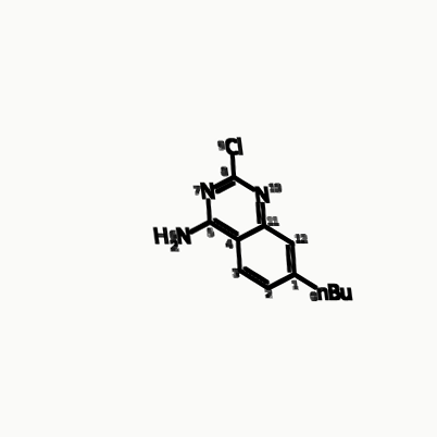 CCCCc1ccc2c(N)nc(Cl)nc2c1